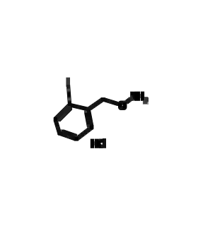 Cl.NOCc1ccccc1I